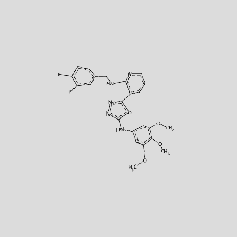 COc1cc(Nc2nnc(-c3cccnc3NCc3ccc(F)c(F)c3)o2)cc(OC)c1OC